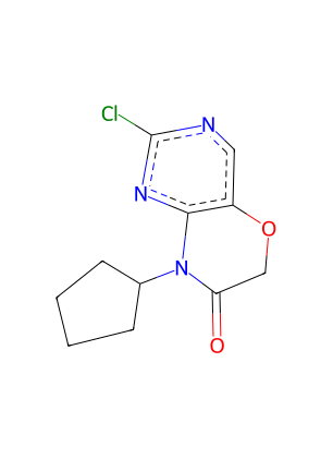 O=C1COc2cnc(Cl)nc2N1C1CCCC1